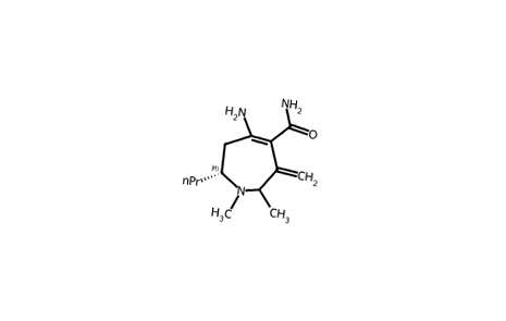 C=C1C(C(N)=O)=C(N)C[C@@H](CCC)N(C)C1C